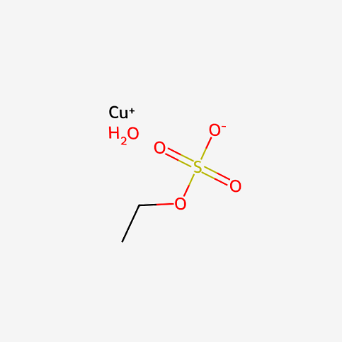 CCOS(=O)(=O)[O-].O.[Cu+]